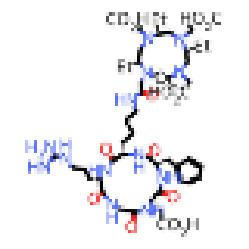 CC[C@H]1CN(CC(=O)O)[C@@H](CC)CN(CC(=O)NCCCC[C@@H]2NC(=O)[C@@H](Cc3ccccc3)NC(=O)[C@H](CC(=O)O)NC(=O)CNC(=O)[C@H](CCCNC(=N)N)NC2=O)[C@@H](CC)CN(CC(=O)O)[C@@H](CC)CN1CC(=O)O